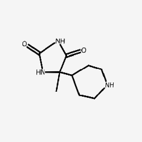 CC1(C2CCNCC2)NC(=O)NC1=O